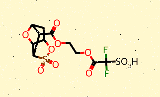 O=C(OCCOC(=O)C(F)(F)S(=O)(=O)O)C1C2CC3OS(=O)(=O)C1C3O2